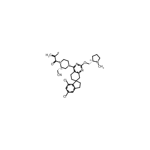 C=C(F)C(=O)N1CCN(c2nc(OC[C@@H]3CCCN3C)nc3c2CCC2(CCc4cc(Cl)cc(Cl)c42)C3)C[C@@H]1CC#N